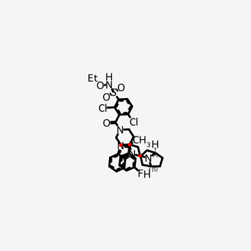 CCONS(=O)(=O)c1ccc(Cl)c(C(=O)N2CCC(CCN3[C@@H]4CC[C@H]3CC(n3c(C)nc5ccccc53)C4)(c3cccc(F)c3)CC2)c1Cl